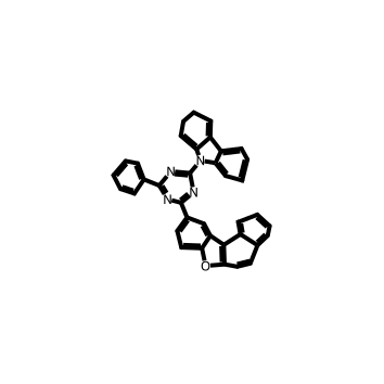 C1=c2c(n(-c3nc(-c4ccccc4)nc(-c4ccc5oc6ccc7ccccc7c6c5c4)n3)c3ccccc23)=CCC1